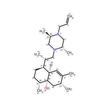 C=CCN1C[C@H](C)N(C[C@@H](C)[C@@H]2CC[C@@H](C)[C@]3(O)[C][C@@H](OC(C)=O)C(C)=C[C@H]23)C[C@H]1C